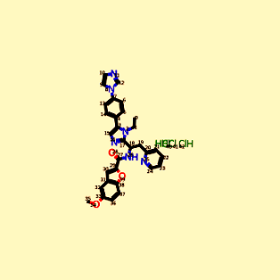 CCn1c(-c2ccc(-n3ccnc3)cc2)cnc1C(Cc1ccccn1)NC(=O)c1cc2cc(OC)ccc2o1.Cl.Cl.Cl